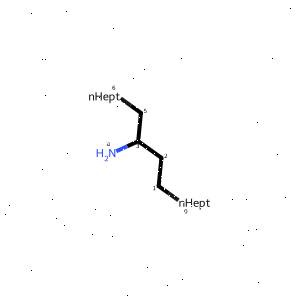 CCCCCCCCCC(N)CCCCCCCC